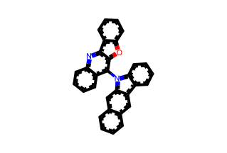 c1ccc2cc3c(cc2c1)c1ccccc1n3-c1c2ccccc2nc2c1oc1ccccc12